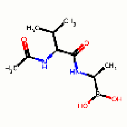 CC(=O)N[C@H](C(=O)N[C@@H](C)B(O)O)C(C)C